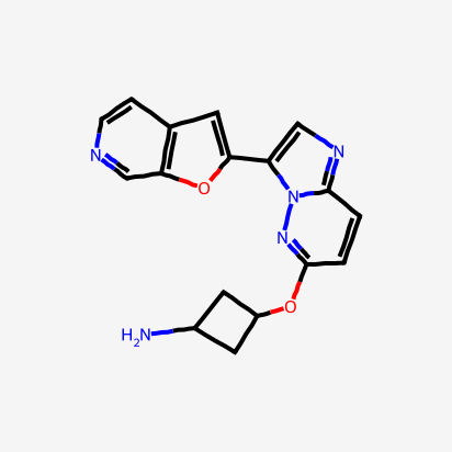 NC1CC(Oc2ccc3ncc(-c4cc5ccncc5o4)n3n2)C1